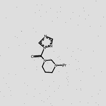 CC(C)N1CCCN(C(=O)n2cncn2)C1